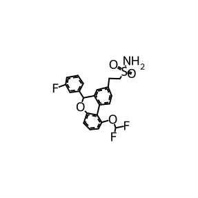 NS(=O)(=O)CCc1ccc2c(c1)C(c1cccc(F)c1)Oc1cccc(OC(F)F)c1-2